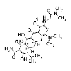 CN(C)C(=O)CNc1cc(N(C)C)c2c(c1ON)C(=O)C1=C(O)[C@]3(O)C(=O)C(C(N)=O)=C(O)C(N(C)C)[C@@H]3C[C@@H]1C2